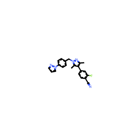 Cc1nn(Cc2ccc(-n3cccn3)cc2)c(C)c1-c1ccc(C#N)c(F)c1